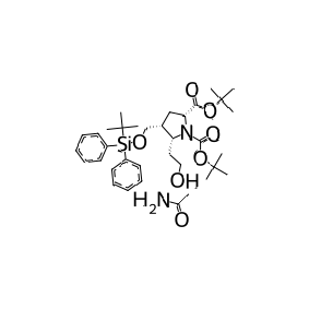 CC(C)(C)OC(=O)[C@H]1C[C@@H](CO[Si](c2ccccc2)(c2ccccc2)C(C)(C)C)[C@@H](CCO)N1C(=O)OC(C)(C)C.CC(N)=O